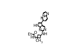 CCC(=O)NC1(C)CC(Nc2ncc3c(-c4ccc5nccn5n4)c[nH]c3n2)C1